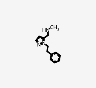 CNCc1ccnn1CCc1ccccc1